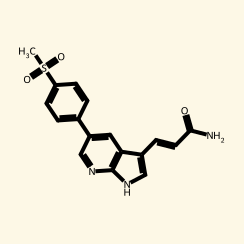 CS(=O)(=O)c1ccc(-c2cnc3[nH]cc(C=CC(N)=O)c3c2)cc1